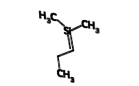 CCC=[Si](C)C